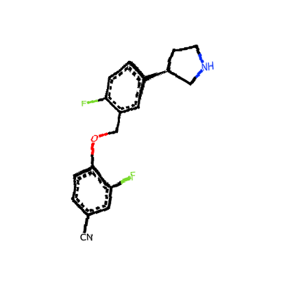 N#Cc1ccc(OCc2cc([C@H]3CCNC3)ccc2F)c(F)c1